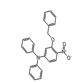 O=[N+]([O-])c1ccc(N(c2ccccc2)c2ccccc2)cc1OCc1ccccc1